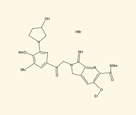 Br.CCOc1cc2c(nc1C(=O)NC)C(=N)N(CC(=O)c1cc(N3CCC(O)C3)c(OC)c(C(C)(C)C)c1)C2